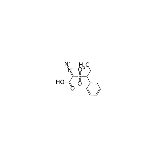 CCC(c1ccccc1)S(=O)(=O)C(=[N+]=[N-])C(=O)O